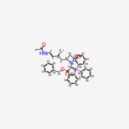 CC(=O)NC=CC(=S)CC1CC(=O)N1C(C(=O)OCc1ccccc1)=P(c1ccccc1)(c1ccccc1)c1ccccc1